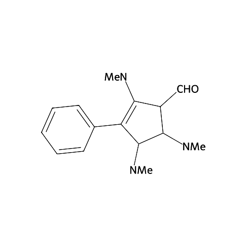 CNC1=C(c2ccccc2)C(NC)C(NC)C1C=O